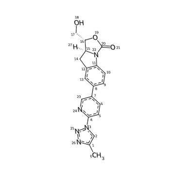 Cc1cn(-c2ccc(-c3ccc4c(c3)C[C@H]3[C@H](CO)OC(=O)N43)cn2)nn1